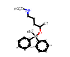 CCC(CCCNC(=O)O)O[Si](c1ccccc1)(c1ccccc1)C(C)(C)C